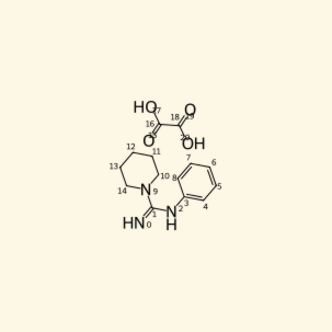 N=C(Nc1ccccc1)N1CCCCC1.O=C(O)C(=O)O